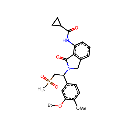 CCOc1cc([C@@H](CS(C)(=O)=O)N2Cc3cccc(NC(=O)C4CC4)c3C2=O)ccc1OC